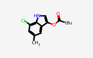 Cc1cc(Cl)c2[nH]cc(OC(=O)C(C)(C)C)c2c1